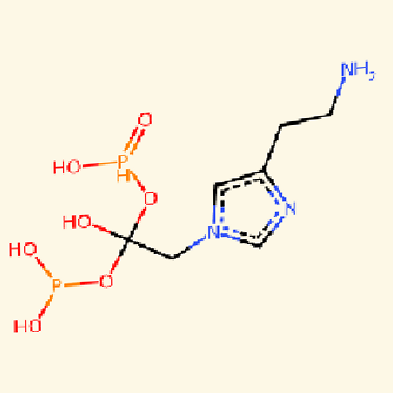 NCCc1cn(CC(O)(OP(O)O)O[PH](=O)O)cn1